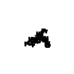 CC(C)CCC(=O)N[C@@H](CC(=O)N1CCCC[C@@H]1C)C(=O)N[C@@H](C)c1ncc(-c2ccc(F)cc2F)[nH]1